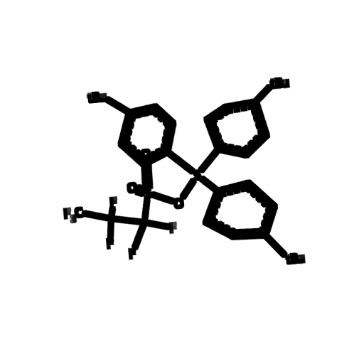 CC(C)(C)c1ccc(S(OS(=O)(=O)C(F)(F)C(F)(F)C(F)(F)F)(c2ccc(C(C)(C)C)cc2)c2ccc(C(C)(C)C)cc2)cc1